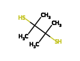 CC(C)(S)C(C)(C)S